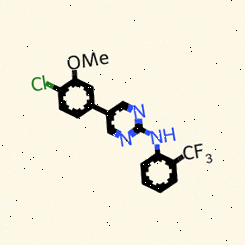 COc1cc(-c2cnc(Nc3ccccc3C(F)(F)F)nc2)ccc1Cl